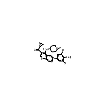 CN1CCC(Nc2c(C(=O)C3CC3)cnc3ccc(-c4cc(F)c(O)c(F)c4)cc23)CC1